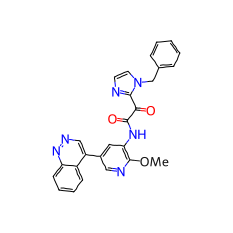 COc1ncc(-c2cnnc3ccccc23)cc1NC(=O)C(=O)c1nccn1Cc1ccccc1